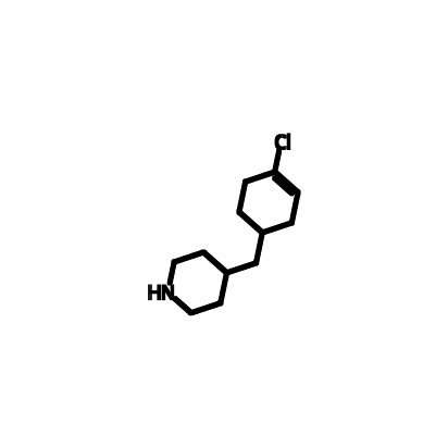 ClC1=CCC(CC2CCNCC2)CC1